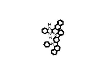 C1=CC2NC(c3ccc4ccccc4c3)=C(N3C4=Cc5c(c6ccc7ccccc7c6n5-c5ccccc5)CC4c4ccccc43)NC2CC1